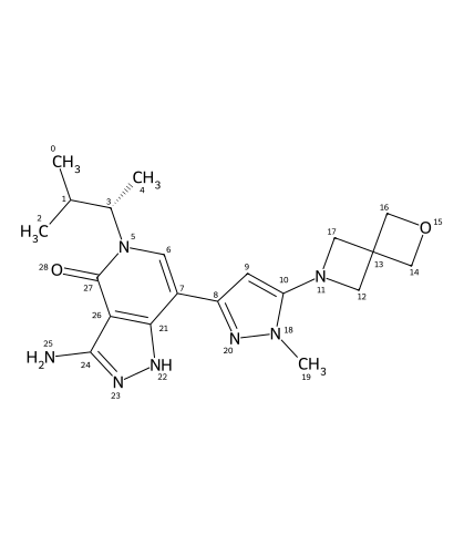 CC(C)[C@H](C)n1cc(-c2cc(N3CC4(COC4)C3)n(C)n2)c2[nH]nc(N)c2c1=O